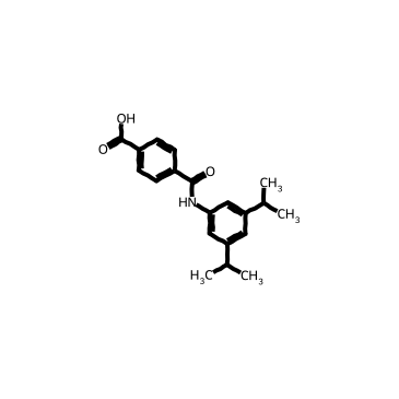 CC(C)c1cc(NC(=O)c2ccc(C(=O)O)cc2)cc(C(C)C)c1